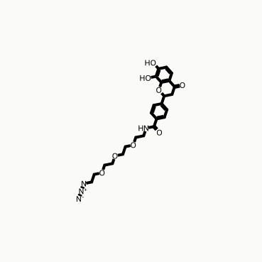 [N-]=[N+]=NCCOCCOCCOCCNC(=O)c1ccc(C2CC(=O)c3ccc(O)c(O)c3O2)cc1